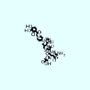 CC(C)(O/N=C(\C(=O)N[C@@H]1C(=O)N2C(c3nnn[nH]3)=C(CSc3cc[n+](CC(=O)c4ccc(O)c(O)c4Cl)cc3)CS[C@H]12)c1nc(N)sc1Cl)C(=O)O